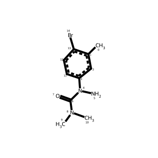 Cc1cc(N(N)C(=O)N(C)C)ccc1Br